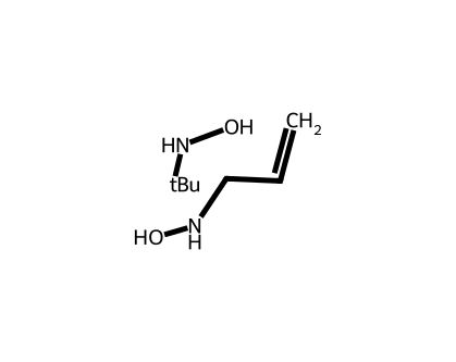 C=CCNO.CC(C)(C)NO